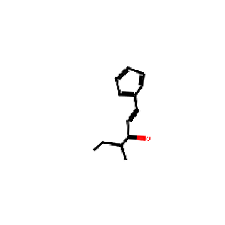 CCC(C)C(=O)C=Cc1ccccc1